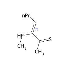 CCC/C=C(\PC)C(C)=S